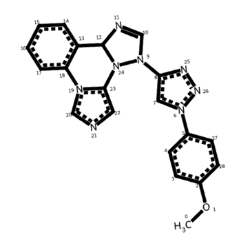 COc1ccc(-n2cc(N3C=NC4c5ccccc5-n5cncc5N43)nn2)cc1